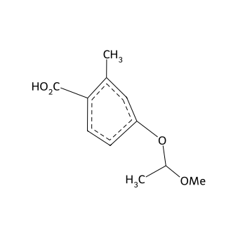 COC(C)Oc1ccc(C(=O)O)c(C)c1